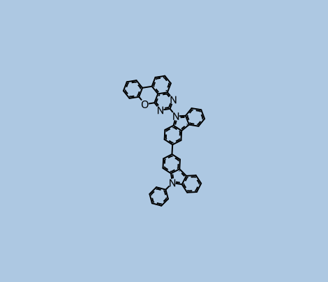 c1ccc(-n2c3ccccc3c3cc(-c4ccc5c(c4)c4ccccc4n5-c4nc5c6c(cccc6n4)-c4ccccc4O5)ccc32)cc1